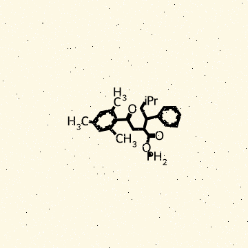 Cc1cc(C)c(C(=O)CC(C(=O)OP)C(CC(C)C)c2ccccc2)c(C)c1